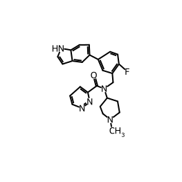 CN1CCC(N(Cc2cc(-c3ccc4[nH]ccc4c3)ccc2F)C(=O)c2cccnn2)CC1